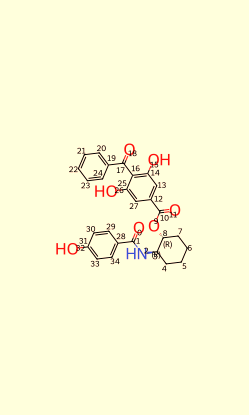 O=C(N[C@@H]1CCCC[C@H]1OC(=O)c1cc(O)c(C(=O)c2ccccc2)c(O)c1)c1ccc(O)cc1